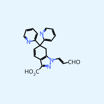 O=CC=Cn1nc(C(=O)O)c2c1CC(c1ccccn1)(c1ccccn1)C=C2